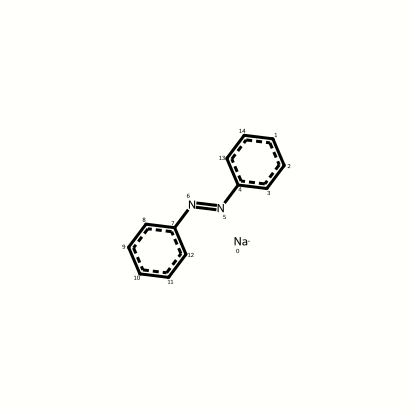 [Na].c1ccc(N=Nc2ccccc2)cc1